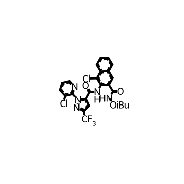 CC(C)CONC(=O)c1cc2ccccc2c(Cl)c1NC(=O)c1cc(C(F)(F)F)nn1-c1ncccc1Cl